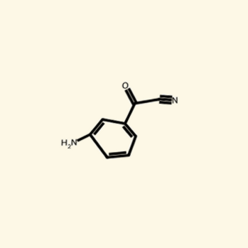 N#CC(=O)c1cccc(N)c1